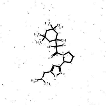 CN(C)Cc1cc(C2CCCN2C(=O)C(F)(F)C2(O)CC(C)(C)CC(C)(C)C2)no1